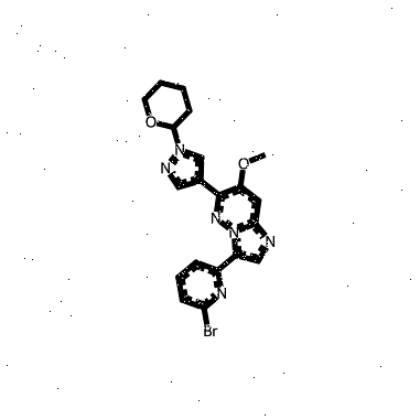 COc1cc2ncc(-c3cccc(Br)n3)n2nc1-c1cnn(C2CCCCO2)c1